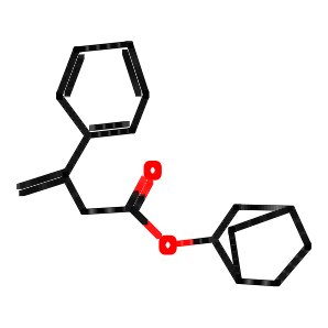 C=C(CC(=O)OC1CC2CCC1C2)c1ccccc1